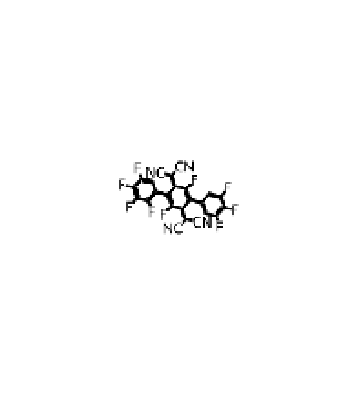 N#CC(C#N)=c1c(F)c(-c2cc(F)c(F)c(F)c2F)c(=C(C#N)C#N)c(F)c1-c1cc(F)c(F)c(F)c1